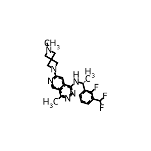 Cc1nnc(N[C@H](C)c2cccc(C(F)F)c2F)c2cc(N3CC4(CN(C)C4)C3)ncc12